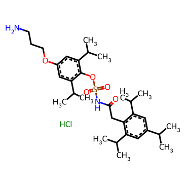 CC(C)c1cc(C(C)C)c(CC(=O)NS(=O)(=O)Oc2c(C(C)C)cc(OCCCN)cc2C(C)C)c(C(C)C)c1.Cl